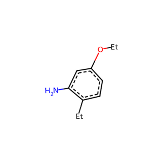 CCOc1ccc(CC)c(N)c1